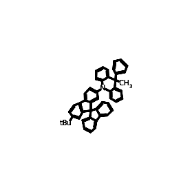 CC(C)(C)c1ccc2c(c1)C1(c3ccccc3-c3ccccc31)c1cc(N3c4ccccc4C(C)(c4ccccc4)c4ccccc43)ccc1-2